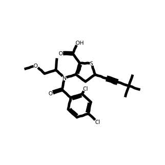 COCC(C)N(C(=O)c1ccc(Cl)cc1Cl)C1=C(C(=O)O)SC(C#CC(C)(C)C)C1